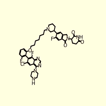 O=C1CCC(N2Cc3cc(C4CCCN(CCCCCCCOc5cccc(F)c5-c5c(Cl)cc6c(N7CCNCC7)ncnc6c5F)C4)c(F)cc3C2=O)C(=O)N1